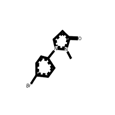 Cn1c(=O)ccn1-c1ccc(Br)cc1